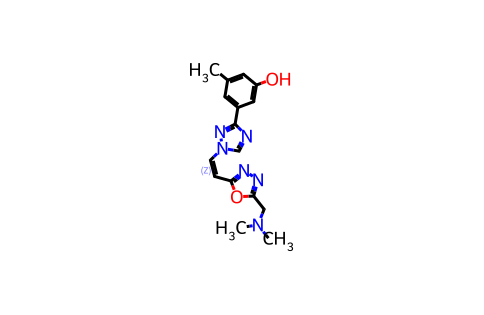 Cc1cc(O)cc(-c2ncn(/C=C\c3nnc(CN(C)C)o3)n2)c1